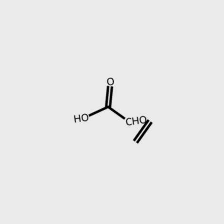 C=C.O=CC(=O)O